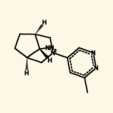 Cc1cc(N2C[C@H]3CC[C@@H](C2)[C@@H]3N)cnn1